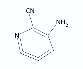 N#CC1=C(N)C=C=C=N1